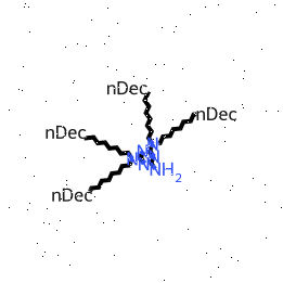 CCCCCCCCCCCCCCCCCCN(CCCCCCCCCCCCCCCCCC)c1nc(N)nc(N(CCCCCCCCCCCCCCCCCC)CCCCCCCCCCCCCCCCCC)n1